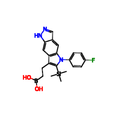 C[Si](C)(C)c1c(CCB(O)O)c2cc3[nH]ncc3cc2n1-c1ccc(F)cc1